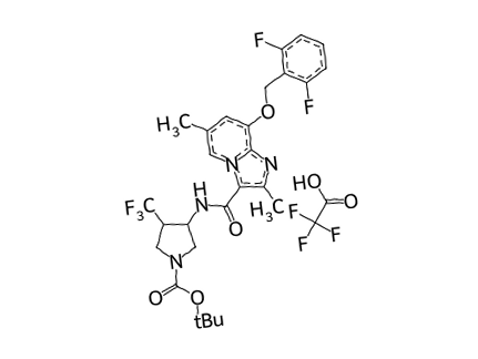 Cc1cc(OCc2c(F)cccc2F)c2nc(C)c(C(=O)NC3CN(C(=O)OC(C)(C)C)CC3C(F)(F)F)n2c1.O=C(O)C(F)(F)F